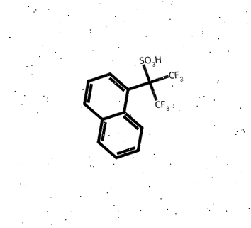 O=S(=O)(O)C(c1cccc2ccccc12)(C(F)(F)F)C(F)(F)F